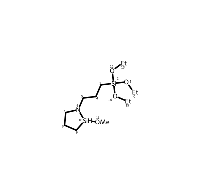 CCO[Si](CCCN1CCC[SiH]1OC)(OCC)OCC